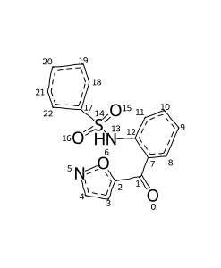 O=C(c1ccno1)c1ccccc1NS(=O)(=O)c1ccccc1